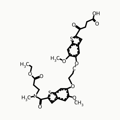 CCOC(=O)CCN(C)C(=O)c1cc2cc(OC)c(OCCCOc3cc4cc(C(=O)CCC(=O)O)sc4cc3OC)cc2s1